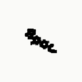 COC(=O)C(=O)Nc1ccc([C@H]2CC[C@@H](C(=O)OC(C)(C)C)CC2)cc1F